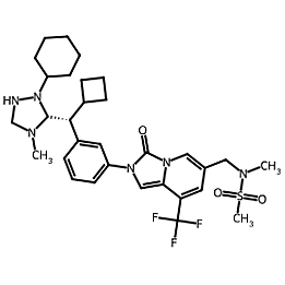 CN1CNN(C2CCCCC2)C1[C@@H](c1cccc(-n2cc3c(C(F)(F)F)cc(CN(C)S(C)(=O)=O)cn3c2=O)c1)C1CCC1